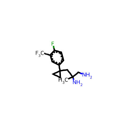 CC(N)(CN)CC1(c2ccc(F)c(C(F)(F)F)c2)CC1